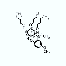 CCCCOC[C@H]1O[C@@H]2Oc3ccc(OC)cc3[C@H](OC)[C@@H]2[C@@H](OCCCC)[C@H]1OCCCC